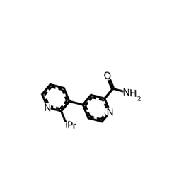 CC(C)c1ncccc1-c1ccnc(C(N)=O)c1